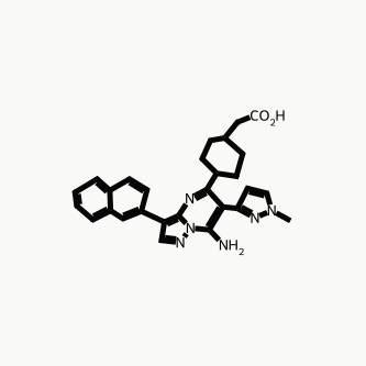 Cn1ccc(-c2c(C3CCC(CC(=O)O)CC3)nc3c(-c4ccc5ccccc5c4)cnn3c2N)n1